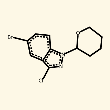 Clc1nn(C2CCCCO2)c2ccc(Br)cc12